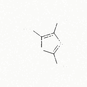 O=Cc1nc(C=O)c(C(=O)O)s1